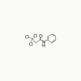 O=C([CH]C(Cl)(Cl)Cl)Nc1ccccc1